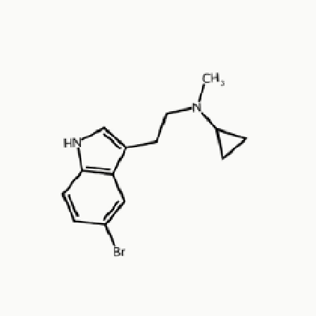 CN(CCc1c[nH]c2ccc(Br)cc12)C1CC1